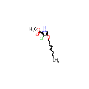 CCCCCCCCCOc1c[nH]c(C(=O)OC)c1Cl